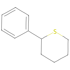 c1ccc(C2CCCCS2)cc1